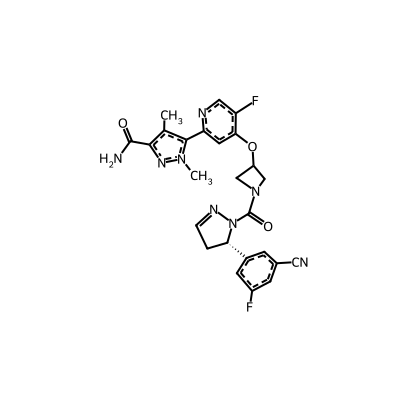 Cc1c(C(N)=O)nn(C)c1-c1cc(OC2CN(C(=O)N3N=CC[C@H]3c3cc(F)cc(C#N)c3)C2)c(F)cn1